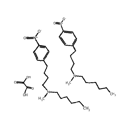 CCCCCCN(C)CCCCc1ccc([N+](=O)[O-])cc1.CCCCCCN(C)CCCCc1ccc([N+](=O)[O-])cc1.O=C(O)C(=O)O